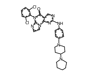 O=c1c2cnc(Nc3ccc(N4CCC(N5CCCCC5)CC4)cc3)nc2n2ccnc2n1-c1c(Cl)cccc1Cl